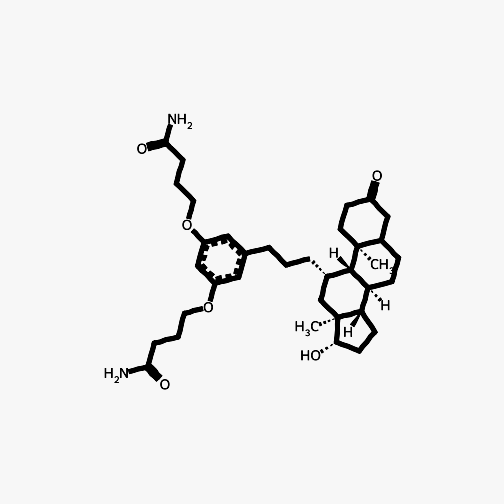 C[C@]12C[C@H](CCCc3cc(OCCCC(N)=O)cc(OCCCC(N)=O)c3)[C@H]3[C@@H](CCC4CC(=O)CC[C@@]43C)[C@@H]1CC[C@@H]2O